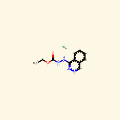 CCOC(=O)NNc1nncc2ccccc12.Cl